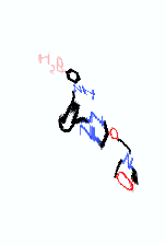 Bc1cccc(NCc2cccc(-c3ncc(OCCN4CCOCC4)cn3)c2)c1